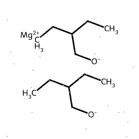 CCC(CC)C[O-].CCC(CC)C[O-].[Mg+2]